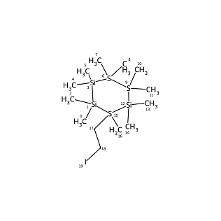 C[Si]1(C)[Si](C)(C)S(C)(C)S(C)(C)[Si](C)(C)S1(C)CCI